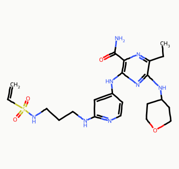 C=CS(=O)(=O)NCCCNc1cc(Nc2nc(NC3CCOCC3)c(CC)nc2C(N)=O)ccn1